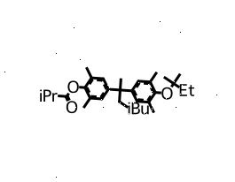 CCC(C)CC(C)(c1cc(C)c(OC(=O)C(C)C)c(C)c1)c1cc(C)c(OC(C)(C)CC)c(C)c1